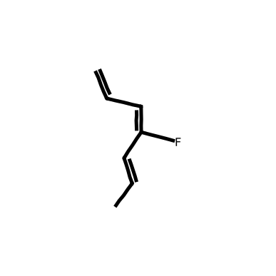 C=C/C=C(F)\C=C\C